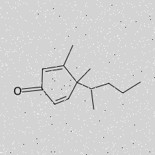 CCCC(C)C1(C)C=CC(=O)C=C1C